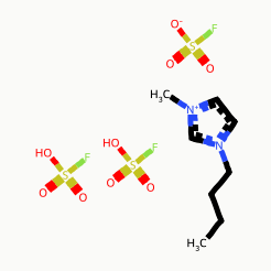 CCCCn1cc[n+](C)c1.O=S(=O)(O)F.O=S(=O)(O)F.O=S(=O)([O-])F